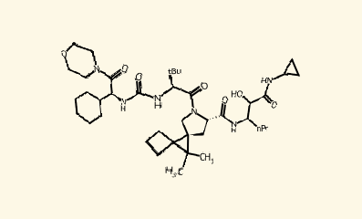 CCCC(NC(=O)[C@@H]1C[C@@]2(CN1C(=O)[C@@H](NC(=O)N[C@H](C(=O)N1CCOCC1)C1CCCCC1)C(C)(C)C)C(C)(C)C21CCC1)C(O)C(=O)NC1CC1